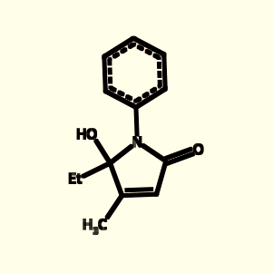 CCC1(O)C(C)=CC(=O)N1c1ccccc1